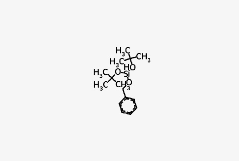 CC(C)(C)O[SiH](OCc1ccccc1)OC(C)(C)C